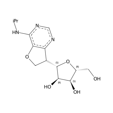 CC(C)Nc1ncnc2c1OCC2[C@@H]1O[C@H](CO)[C@@H](O)[C@H]1O